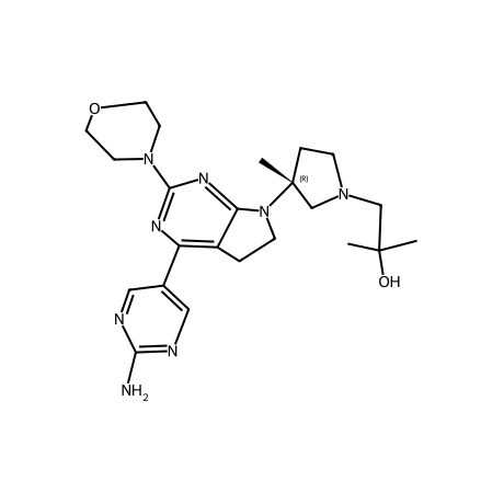 CC(C)(O)CN1CC[C@@](C)(N2CCc3c(-c4cnc(N)nc4)nc(N4CCOCC4)nc32)C1